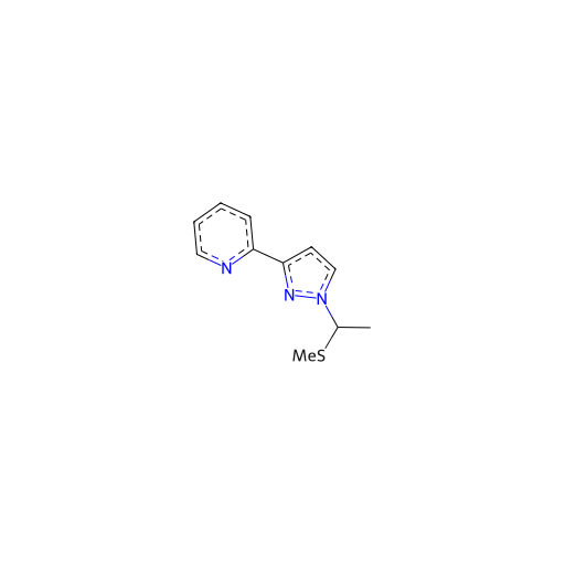 CSC(C)n1ccc(-c2ccccn2)n1